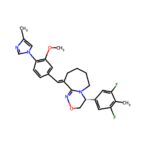 COc1cc(/C=C2\CCCCN3C2=NOC[C@H]3c2cc(F)c(C)c(F)c2)ccc1-n1cnc(C)c1